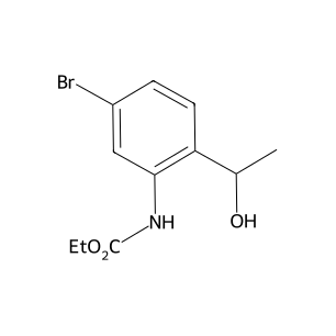 CCOC(=O)Nc1cc(Br)ccc1C(C)O